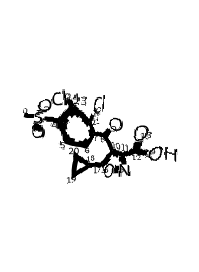 CS(=O)(=O)c1ccc(C(=O)c2c(C(=O)O)noc2C2CC2)c(Cl)c1Cl